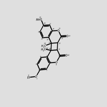 CCOc1ccc2c(c1)OC(=O)C1C3C(=O)Oc4cc(OC)ccc4C3(C)C21C